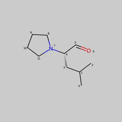 CC(C)C[C@@H](C=O)N1CCCC1